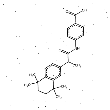 CC(C(=O)Nc1ccc(C(=O)O)cc1)c1ccc2c(c1)C(C)(C)CCC2(C)C